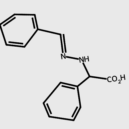 O=C(O)C(NN=Cc1ccccc1)c1ccccc1